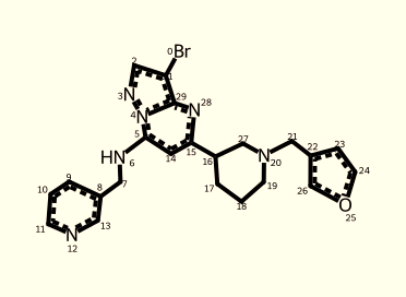 Brc1cnn2c(NCc3cccnc3)cc(C3CCCN(Cc4ccoc4)C3)nc12